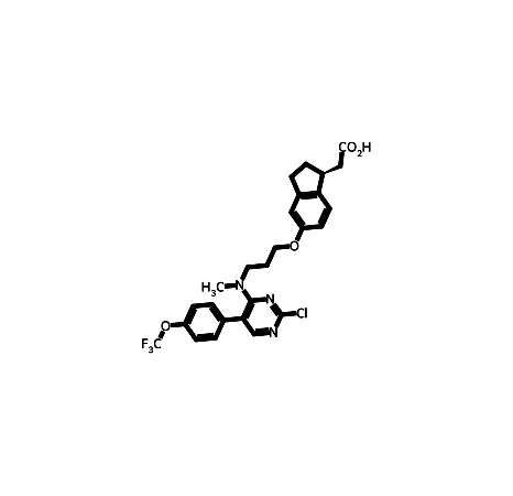 CN(CCCOc1ccc2c(c1)CC[C@H]2CC(=O)O)c1nc(Cl)ncc1-c1ccc(OC(F)(F)F)cc1